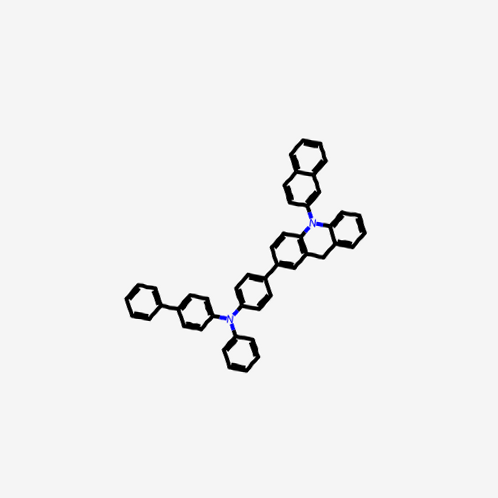 c1ccc(-c2ccc(N(c3ccccc3)c3ccc(-c4ccc5c(c4)Cc4ccccc4N5c4ccc5ccccc5c4)cc3)cc2)cc1